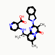 Cc1cc([C@@H](C)Nc2ccncc2C(=O)O)c2nc(N3Cc4ccccc4C3)c(C)c(=O)n2c1